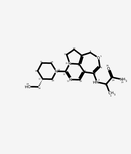 CC(NC1=COCC2=C3C1=CN=C(N1CCC[C@@H](CO)C1)N3CC2)C(N)=O